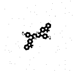 COc1ccc(-c2cc3nc(-c4ccc5c(c4)C(C)(C)c4ccccc4-5)c(-c4ccc(OC)cc4)cc3nc2-c2ccc3c(c2)C(C)(C)c2ccccc2-3)cc1